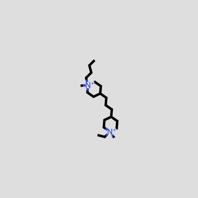 CCCC[N+]1(C)CCC(CCCC2CC[N+](C)(CC)CC2)CC1